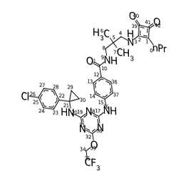 CCCc1c(NCC(C)(C)CNC(=O)c2ccc(Nc3nc(NC4(c5ccc(Cl)cc5)CC4)nc(OCC(F)(F)F)n3)cc2)c(=O)c1=O